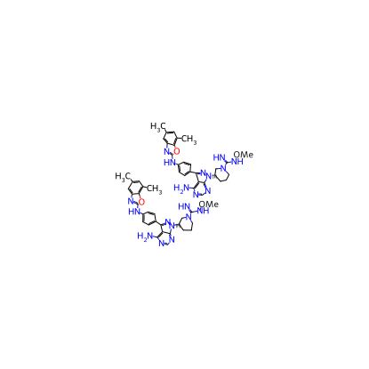 CONC(=N)N1CCC[C@@H](n2nc(-c3ccc(Nc4nc5cc(C)cc(C)c5o4)cc3)c3c(N)ncnc32)C1.CONC(=N)N1CCC[C@H](n2nc(-c3ccc(Nc4nc5cc(C)cc(C)c5o4)cc3)c3c(N)ncnc32)C1